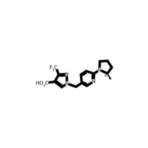 C[C@@H]1CCCN1c1ccc(Cn2cc(C(=O)O)c(C(F)(F)F)n2)cn1